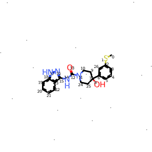 CSc1cccc(C2(O)CCN(C(=O)Nc3n[nH]c4ccccc34)CC2)c1